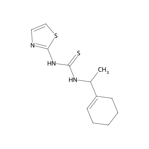 CC(NC(=S)Nc1nccs1)C1=CCCCC1